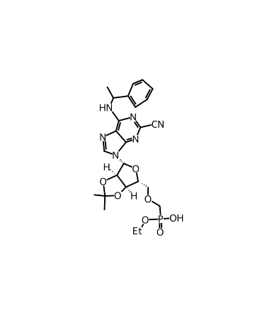 CCOP(=O)(O)COC[C@H]1O[C@@H](n2cnc3c(NC(C)c4ccccc4)nc(C#N)nc32)[C@@H]2OC(C)(C)O[C@@H]21